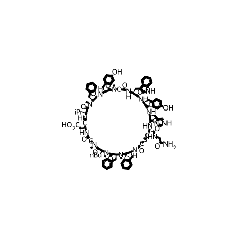 CCCC[C@H]1C(=O)N(C)CC(=O)N[C@@H](CC(=O)O)CN[C@@H](C(C)C)C(=O)N(C)[C@@H](Cc2ccccc2)C(=O)N[C@@H](Cc2ccc(O)cc2)C(=O)N(C)CC(=O)N[C@@H](Cc2c[nH]c3ccccc23)C(=O)N[C@@H](Cc2ccc(O)cc2)C(=O)N[C@@H](Cc2c[nH]cn2)C(=O)N[C@H](C(=O)NCC(N)=O)CSCC(=O)N[C@@H](Cc2ccccc2)C(=O)N(C)[C@@H](Cc2ccccc2)C(=O)N1C